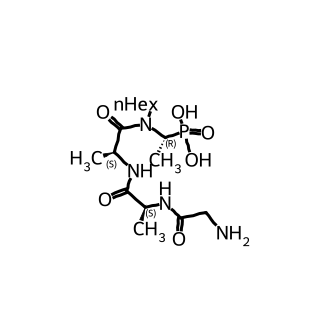 CCCCCCN(C(=O)[C@H](C)NC(=O)[C@H](C)NC(=O)CN)[C@@H](C)P(=O)(O)O